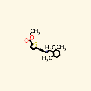 CCOC(=O)c1ccc(C#C/C=C/C2=C(C)CCCC2(C)C)s1